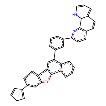 C1=CNC2C(=C1)C=Cc1ccc(-c3cccc(-c4cc5c6ccc(C7=CCC=C7)cc6oc5c5ccccc45)c3)nc12